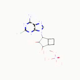 Nc1nc(Cl)nc2c1ncn2C1C(O)C(O)[C@]2(COP(=O)(O)O)CC[C@H]12